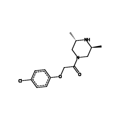 C[C@H]1CN(C(=O)COc2ccc(Cl)cc2)C[C@H](C)N1